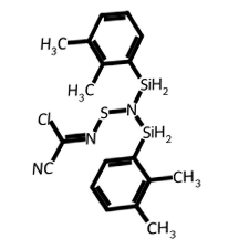 Cc1cccc([SiH2]N([SiH2]c2cccc(C)c2C)SN=C(Cl)C#N)c1C